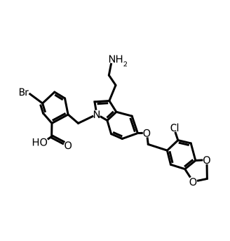 NCCc1cn(Cc2ccc(Br)cc2C(=O)O)c2ccc(OCc3cc4c(cc3Cl)OCO4)cc12